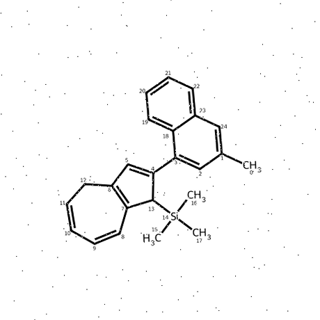 Cc1cc(C2=CC3=C(C=CC=CC3)C2[Si](C)(C)C)c2ccccc2c1